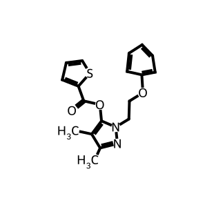 Cc1nn(CCOc2ccccc2)c(OC(=O)c2cccs2)c1C